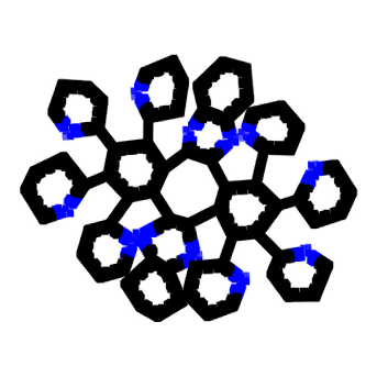 c1ccc(-c2c(-c3ccccn3)c(-c3ccccn3)c3c(c2-c2ccccn2)-c2nc4ccccc4nc2-c2c(-c4ccccn4)c(-c4ccccn4)c(-c4ccccn4)c(-c4ccccn4)c2-c2nc4ccccc4nc2-3)nc1